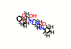 [2H]c1c([2H])c(C)c(NC(=O)C([2H])([2H])N2CCN(CC(O)C([2H])([2H])Oc3ccccc3OC([2H])([2H])[2H])CC2)c(C)c1[2H]